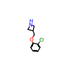 Clc1ccccc1OCC1CNC1